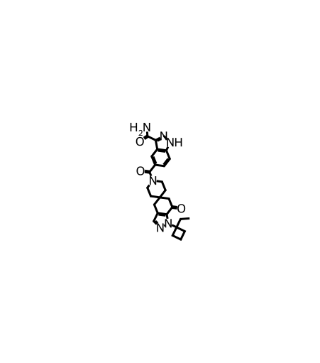 CCC1(n2ncc3c2C(=O)CC2(CCN(C(=O)c4ccc5[nH]nc(C(N)=O)c5c4)CC2)C3)CCC1